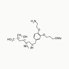 COCCCOc1cc(C[C@@H](C[C@H](N)[C@@H](O)C[C@@H](C)C(=O)O)C(C)C)ccc1OCCN